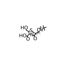 C[C@@H](O[Si](C)(C)C(C)(C)C)[C@H]1C(=O)N2C(C(=O)O)C(CO)SC12